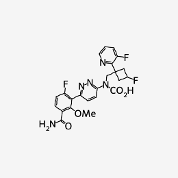 COc1c(C(N)=O)ccc(F)c1-c1ccc(N(CC2(c3ncccc3F)CC(F)C2)C(=O)O)nn1